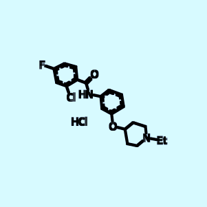 CCN1CCC(Oc2cccc(NC(=O)c3ccc(F)cc3Cl)c2)CC1.Cl